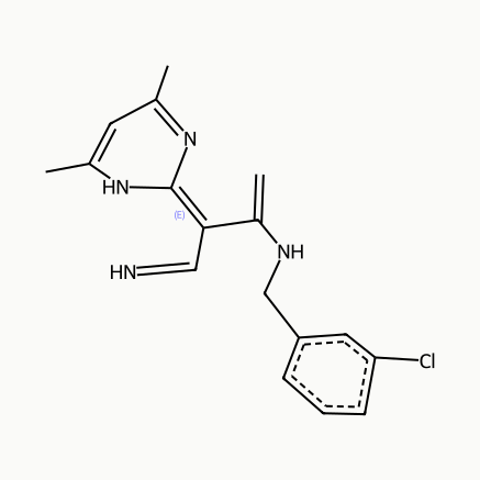 C=C(NCc1cccc(Cl)c1)/C(C=N)=C1\N=C(C)C=C(C)N1